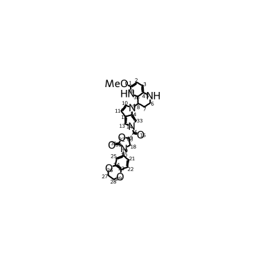 COC1=CC=C2NCCC(n3ccc4cn(C(=O)[C@@H]5CN(c6ccc7c(c6)OCCO7)C(=O)O5)cc43)C2N1